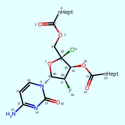 CCCCCCCC(=O)OC[C@@]1(Cl)O[C@@H](n2ccc(N)nc2=O)[C@H](F)[C@@H]1OC(=O)CCCCCCC